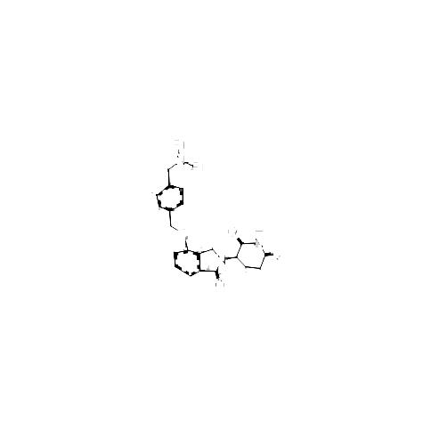 CCN(CC)Cc1ccc(COc2cccc3c2CN(C2CCC(=O)NC2=O)C3=O)cc1